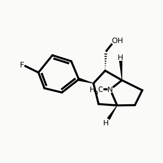 CN1[C@@H]2CC[C@H]1[C@@H](CO)[C@H](c1ccc(F)cc1)C2